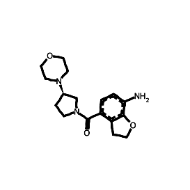 Nc1ccc(C(=O)N2CC[C@@H](N3CCOCC3)C2)c2c1OCC2